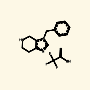 O=C(O)C(F)(F)F.c1ccc(Cn2cnc3c2CNCC3)cc1